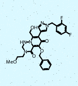 COCCN1CNn2c(CO)c(-c3cnn(Cc4ccc(F)cc4F)c3)c(=O)c(OCc3ccccc3)c2C1=O